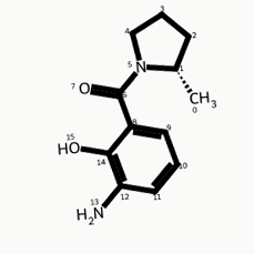 C[C@H]1CCCN1C(=O)c1cccc(N)c1O